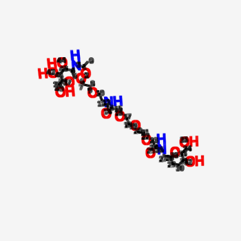 CC(=O)NC1C(OCCOCCNC(=O)COCCOCCOCC(=O)NCC2CCC(O)C(CO)O2)OC(CO)C(O)C1O